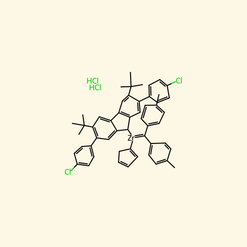 Cc1ccc([C](c2ccc(C)cc2)=[Zr]([C]2=CC=CC2)[CH]2c3cc(-c4ccc(Cl)cc4)c(C(C)(C)C)cc3-c3cc(C(C)(C)C)c(-c4ccc(Cl)cc4)cc32)cc1.Cl.Cl